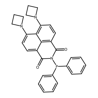 O=C1c2ccc(N3CCC3)c3c(N4CCC4)ccc(c23)C(=O)N1P(c1ccccc1)c1ccccc1